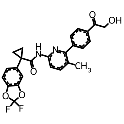 Cc1ccc(NC(=O)C2(c3ccc4c(c3)OC(F)(F)O4)CC2)nc1-c1ccc(C(=O)CO)cc1